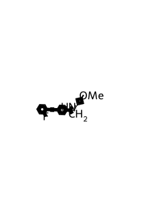 C=C(NC[C@H]1C[C@H](OC)C1)c1ccc(C#Cc2ccccc2F)cc1